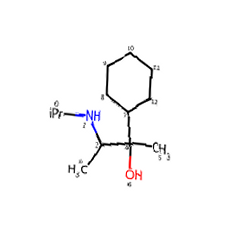 CC(C)NC(C)C(C)(O)C1CCCCC1